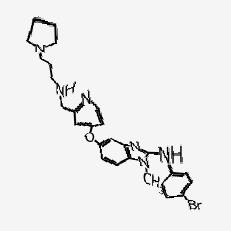 Cn1c(Nc2ccc(Br)cc2)nc2cc(Oc3ccnc(CNCCCN4CCCC4)c3)ccc21